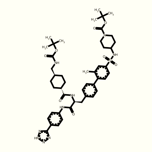 Cc1cc(S(=O)(=O)NC2CCN(C(=O)OC(C)(C)C)CC2)ccc1-c1ccc(C[C@H](NC(=O)[C@H]2CC[C@H](CNC(=O)OC(C)(C)C)CC2)C(=O)Nc2ccc(-c3nn[nH]n3)cc2)cc1